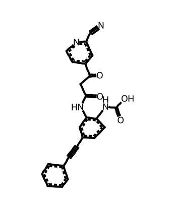 N#Cc1cc(C(=O)CC(=O)Nc2cc(C#Cc3ccccc3)ccc2NC(=O)O)ccn1